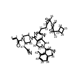 C=CC(=O)N1CCN(c2nc(CCC3S[C@]3(C)N(C)C3S[C@@]3(C)C3CCC3)nc3c2CCN(c2cncc4cccc(C)c24)C3)C[C@@H]1CC#N